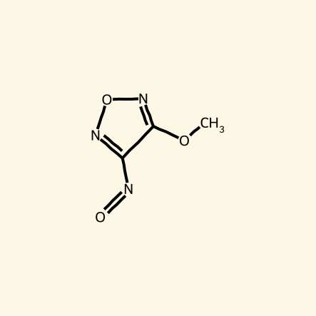 COc1nonc1N=O